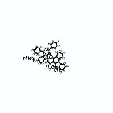 CCCCCCOc1ccc(C2(c3nc(-c4ccccc4)nc(-c4ccccc4)n3)C=Cc3c4c(c5ccccc5c3O2)-c2ccccc2C4(C)C)cc1